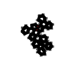 c1ccc(-c2ccccc2-c2ccccc2N(c2ccc3c(c2)C2(c4ccccc4-c4ccccc42)c2ccccc2-3)c2ccc3c4ccccc4c4ccccc4c3c2)cc1